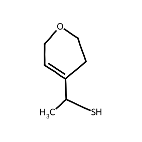 CC(S)C1=CCOCC1